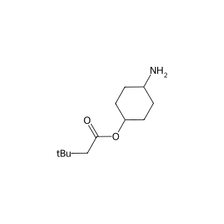 CC(C)(C)CC(=O)OC1CCC(N)CC1